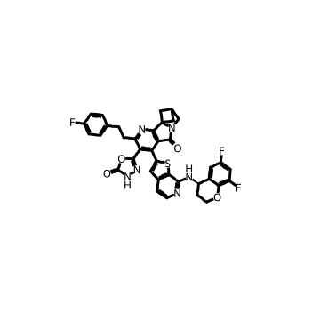 O=C1c2c(nc(CCc3ccc(F)cc3)c(-c3n[nH]c(=O)o3)c2-c2cc3ccnc(N[C@@H]4CCOc5c(F)cc(F)cc54)c3s2)C23CC(CN12)C3